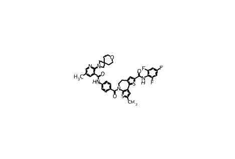 Cc1cnc(N2CC3(CCOCC3)C2)c(C(=O)Nc2ccc(C(=O)N3CCc4cc(C(=O)Nc5c(F)cc(F)cc5F)sc4-c4cc(C)sc43)cc2)c1